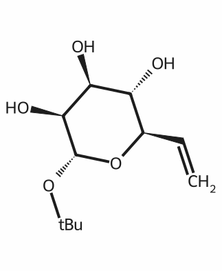 C=C[C@H]1O[C@H](OC(C)(C)C)[C@@H](O)[C@@H](O)[C@@H]1O